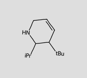 CC(C)C1NCC=CC1C(C)(C)C